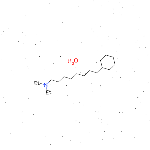 CCN(CC)CCCCCCCCC1CCCCC1.O